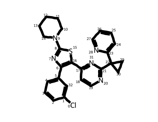 Clc1cccc(-c2nc(N3CCCCC3)sc2-c2ccnc(C3(c4ccccn4)CC3)n2)c1